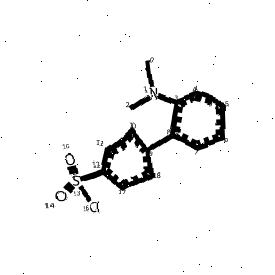 CN(C)c1ccccc1-c1ccc(S(=O)(=O)Cl)cc1